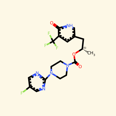 C[C@@H](Cc1c[nH]c(=O)c(C(F)(F)F)c1)OC(=O)N1CCN(c2ncc(F)cn2)CC1